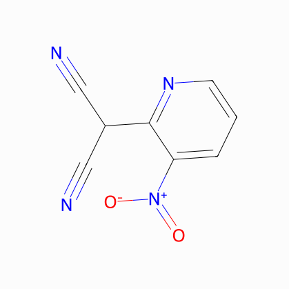 N#CC(C#N)c1ncccc1[N+](=O)[O-]